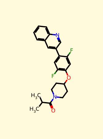 CC(C)C(=O)N1CCC(Oc2cc(F)c(-c3cnc4ccccc4c3)cc2F)CC1